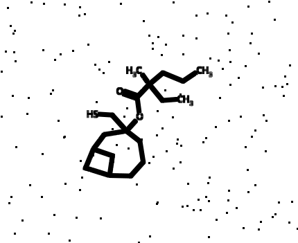 CCCC(C)(CC)C(=O)OC1(CS)CCCC2CC(C2)C1